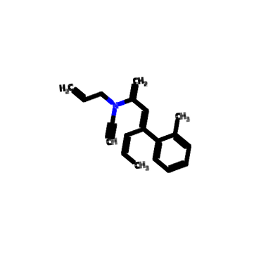 C#CN(CC=C)C(=C)/C=C(\C=C/C)c1ccccc1C